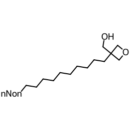 CCCCCCCCCCCCCCCCCCCC1(CO)COC1